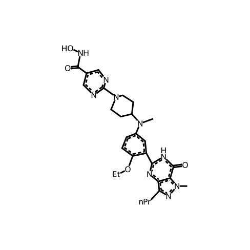 CCCc1nn(C)c2c(=O)[nH]c(-c3cc(N(C)C4CCN(c5ncc(C(=O)NO)cn5)CC4)ccc3OCC)nc12